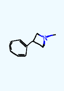 CN1CC(c2c[c]ccc2)C1